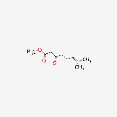 COC(=O)CC(=O)CCC=C(C)C